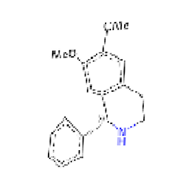 COc1cc2c(cc1OC)[C@@H](c1ccccc1)NCC2